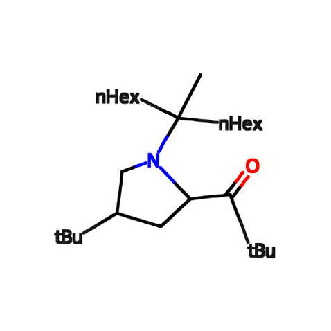 CCCCCCC(C)(CCCCCC)N1CC(C(C)(C)C)CC1C(=O)C(C)(C)C